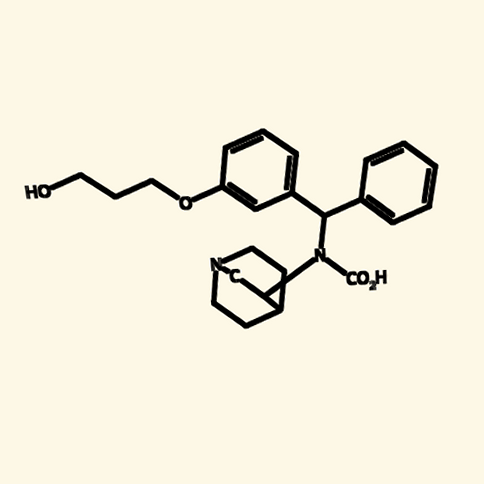 O=C(O)N(C(c1ccccc1)c1cccc(OCCCO)c1)C1CN2CCC1CC2